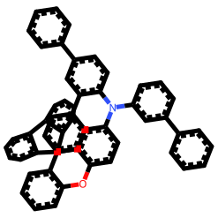 c1ccc(-c2cccc(N(c3ccc4c(c3)C3(c5ccccc5O4)c4ccccc4-c4ccccc43)c3ccc(-c4ccccc4)cc3-c3ccccc3)c2)cc1